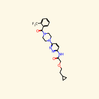 O=C(COCCC1CC1)Nc1ccc(N2CCN(C(=O)c3ccccc3C(F)(F)F)CC2)nn1